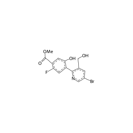 COC(=O)c1cc(O)c(-c2ncc(Br)cc2CO)cc1F